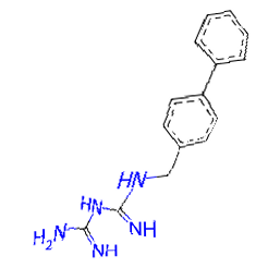 N=C(N)NC(=N)NCc1ccc(-c2ccccc2)cc1